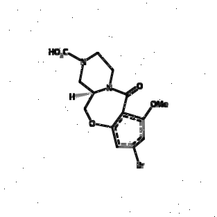 COc1cc(Br)cc2c1C(=O)N1CCN(C(=O)O)C[C@@H]1CO2